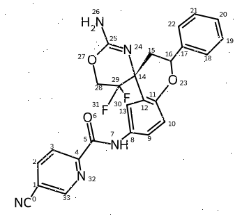 N#Cc1ccc(C(=O)Nc2ccc3c(c2)[C@@]2(CC(c4ccccc4)O3)N=C(N)OCC2(F)F)nc1